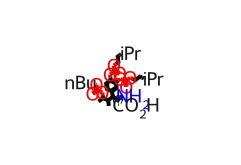 CCCCOC(=O)OC(C)C(C)C(c1ccc(OC(=O)OCCC(C)C)c(OC(=O)OCCC(C)C)c1)[C@H](N)C(=O)O